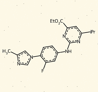 CCOC(=O)c1cc(C(C)C)nc(Nc2ccc(-n3cnc(C)c3)c(F)c2)n1